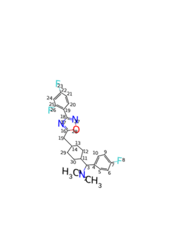 CN(C)C(c1ccc(F)cc1)C1CCC(Cc2nc(-c3ccc(F)cc3F)no2)CC1